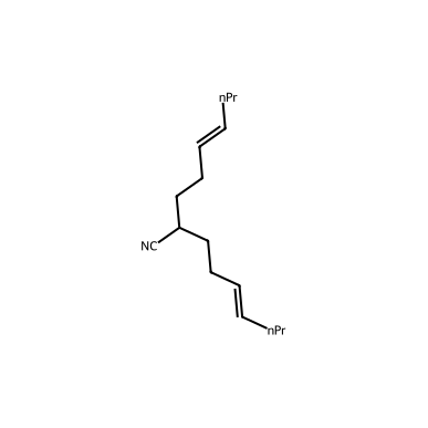 CCCC=CCCC(C#N)CCC=CCCC